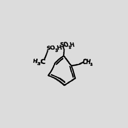 CS(=O)(=O)O.Cc1ccccc1S(=O)(=O)O